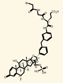 C[C@]12C=CC(=O)C=C1[C@@H](F)C[C@H]1[C@@H]3C[C@H]4O[C@@H](c5cccc(Cc6cccc(NC(=O)[C@H](CCC(=O)O)NC(=O)CNC(=O)CBr)c6)c5)O[C@@]4(C(=O)COP(=O)(O)O)[C@@]3(C)C[C@H](O)[C@@]12F